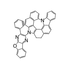 c1cccc(-c2nc3oc4ccccc4c3nc2-n2c3c4c5c(ccc6c7ccccc7n(c7cccc8ccc2c4c87)c65)CC3)c#1